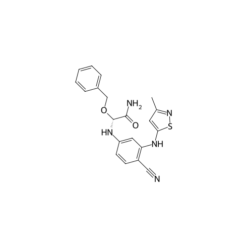 Cc1cc(Nc2cc(N[C@H](OCc3ccccc3)C(N)=O)ccc2C#N)sn1